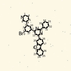 Brc1cc(-c2cccnc2)cc(-c2cc(-c3ccc4c(c3)oc3ccccc34)nc(-c3ccccc3)n2)c1